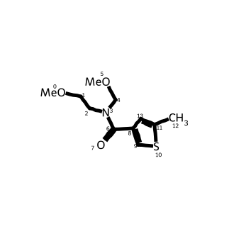 COCCN(COC)C(=O)c1csc(C)c1